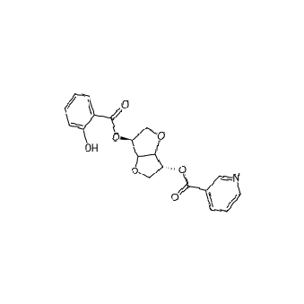 O=C(O[C@@H]1COC2C1OC[C@@H]2OC(=O)c1ccccc1O)c1cccnc1